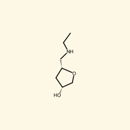 CCNC[C@H]1C[C@@H](O)CO1